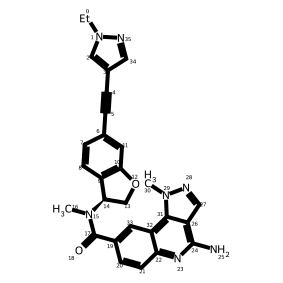 CCn1cc(C#Cc2ccc3c(c2)OC[C@H]3N(C)C(=O)c2ccc3nc(N)c4cnn(C)c4c3c2)cn1